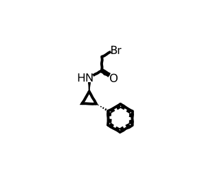 O=C(CBr)N[C@@H]1C[C@H]1c1ccccc1